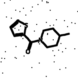 CC1CCN(C(=O)c2cccs2)CC1